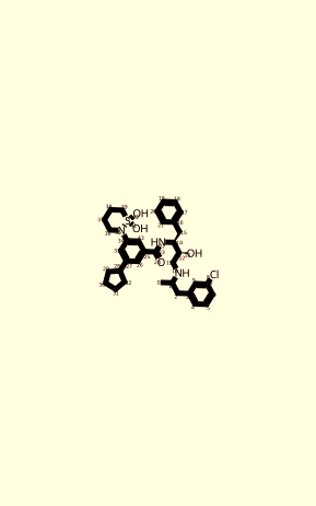 CC(Cc1cccc(Cl)c1)NC[C@@H](O)[C@H](Cc1ccccc1)NC(=O)c1cc(C2CCCC2)cc(N2CCCCS2(O)O)c1